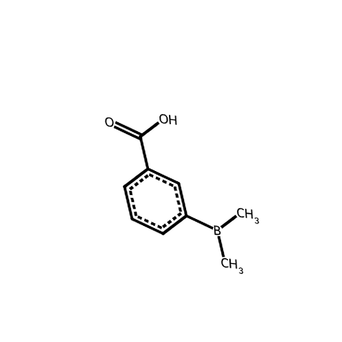 CB(C)c1cccc(C(=O)O)c1